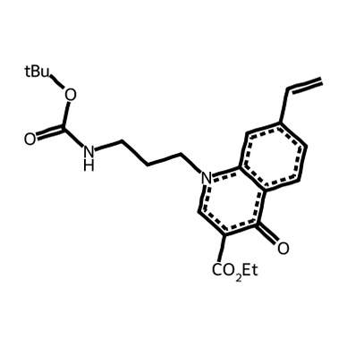 C=Cc1ccc2c(=O)c(C(=O)OCC)cn(CCCNC(=O)OC(C)(C)C)c2c1